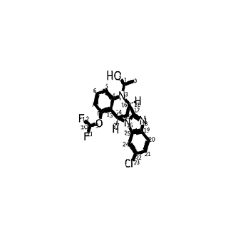 CC(O)N1c2cccc(OC(F)F)c2[C@H]2C[C@@H]1c1nc3ccc(Cl)cc3n12